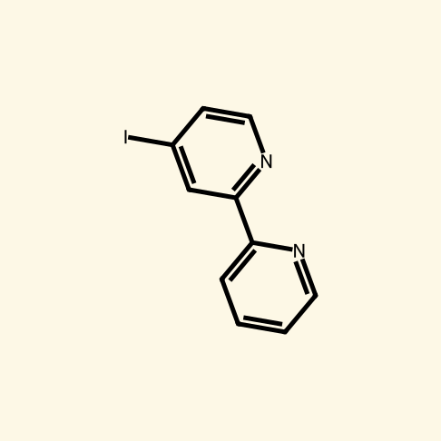 Ic1ccnc(-c2ccccn2)c1